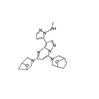 IPn1nccc1-c1cnn2c(N3CC4CCC(C3)O4)cc(N3CC4CC(C3)O4)nc12